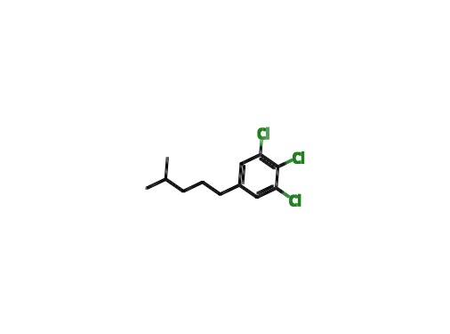 CC(C)CCCc1cc(Cl)c(Cl)c(Cl)c1